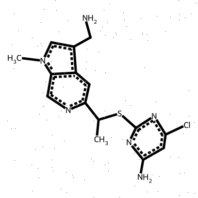 CC(Sc1nc(N)cc(Cl)n1)c1cc2c(CN)cn(C)c2cn1